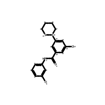 O=C(Nc1cccc(Cl)c1)c1cc(Cl)cc(N2CCCCS2)c1